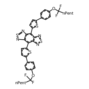 CCCCCC(F)(F)Oc1ccc(-c2ccc(-c3c4c(c(-c5ccc(-c6ccc(OC(F)(F)CCCCC)cc6)s5)c5nsnc35)N=S=N4)s2)cc1